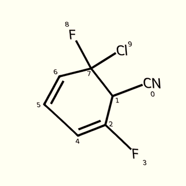 N#CC1C(F)=CC=CC1(F)Cl